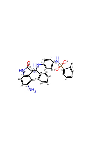 Cc1ccccc1S(=O)(=O)Nc1ccc(N/C(=C2\C(=O)Nc3ccc(N)cc32)c2ccccc2)cc1